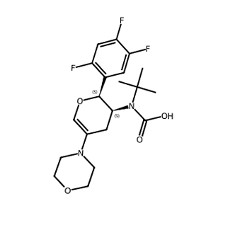 CC(C)(C)N(C(=O)O)[C@H]1CC(N2CCOCC2)=CO[C@H]1c1cc(F)c(F)cc1F